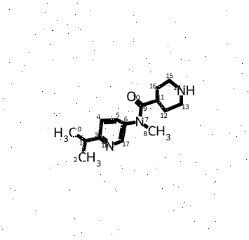 CC(C)c1ccc(N(C)C(=O)C2CCNCC2)cn1